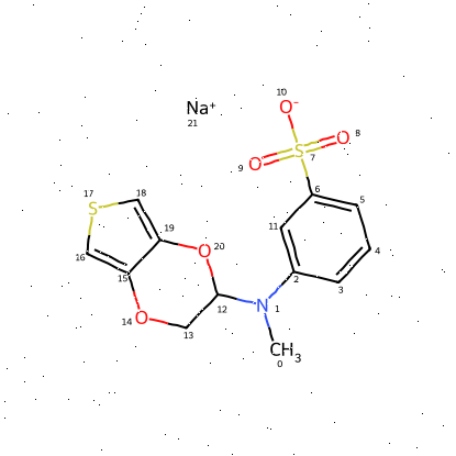 CN(c1cccc(S(=O)(=O)[O-])c1)C1COc2cscc2O1.[Na+]